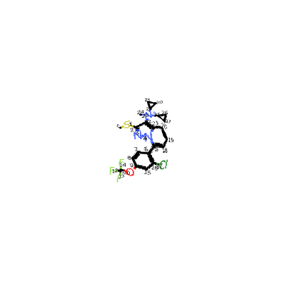 CSc1nn2c(-c3ccc(OC(F)(F)F)cc3Cl)cccc2c1[N+](C)(C1CC1)C1CC1